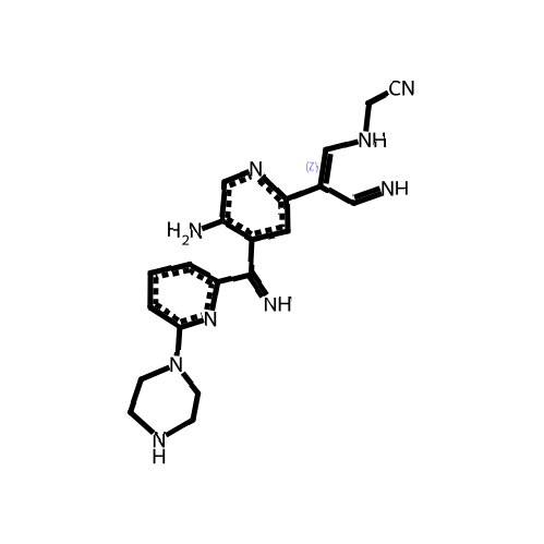 N#CCN/C=C(\C=N)c1cc(C(=N)c2cccc(N3CCNCC3)n2)c(N)cn1